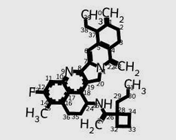 C=C1CCC2=C(C=C3c4nc5cc(F)c(C)c6c5c(c4CN3C2=C)C(NC(=C)C2(CCC)CCC2)CC6)C1CC